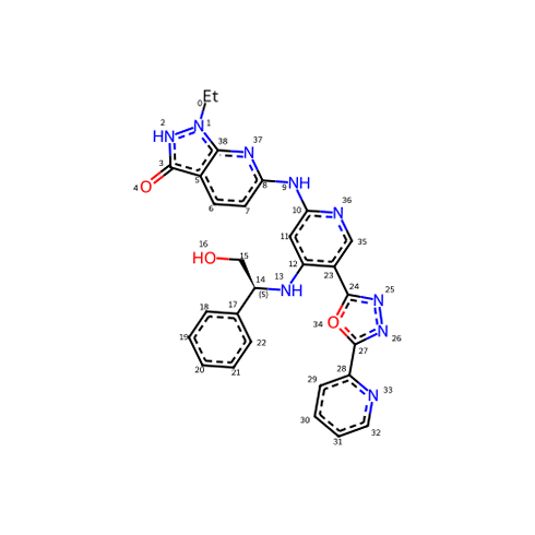 CCn1[nH]c(=O)c2ccc(Nc3cc(N[C@H](CO)c4ccccc4)c(-c4nnc(-c5ccccn5)o4)cn3)nc21